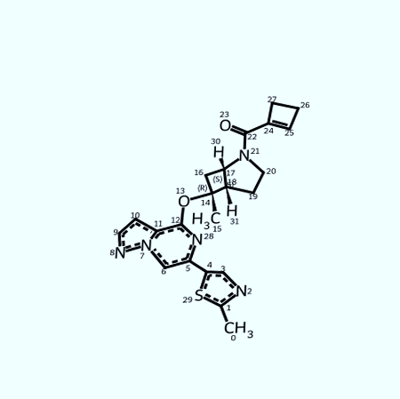 Cc1ncc(-c2cn3nccc3c(O[C@]3(C)C[C@H]4[C@@H]3CCN4C(=O)C3=CCC3)n2)s1